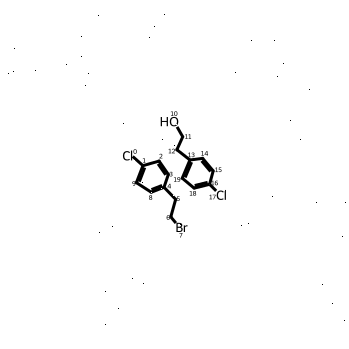 Clc1ccc(CCBr)cc1.OCCc1ccc(Cl)cc1